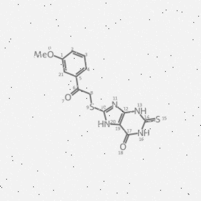 COc1cccc(C(=O)CSc2nc3[nH]c(=S)[nH]c(=O)c3[nH]2)c1